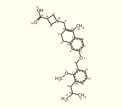 COc1c(COc2ccc3c(c2)CCC(CN2CC(C(=O)O)C2)=C3C)cccc1CC(C)C